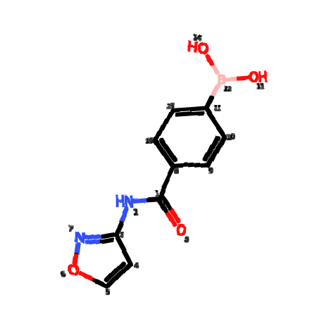 O=C(Nc1ccon1)c1ccc(B(O)O)cc1